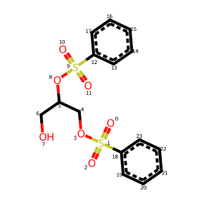 O=S(=O)(OCC(CO)OS(=O)(=O)c1ccccc1)c1ccccc1